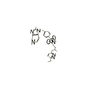 CCc1ccc(CC(C)CCN(C)S(=O)(=O)c2ccc(Cn3c(C)nc4cnccc43)cc2)nn1